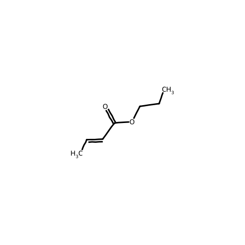 CC=CC(=O)OCCC